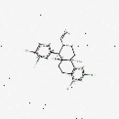 C=C[C@@H]1CC[C@H]2c3cc(F)cc(F)c3CC[C@@H]2[C@H]1c1ccc(F)c(F)c1